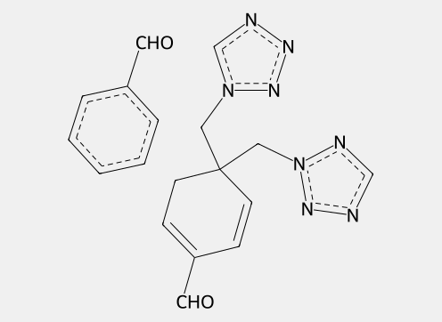 O=CC1=CCC(Cn2cnnn2)(Cn2ncnn2)C=C1.O=Cc1ccccc1